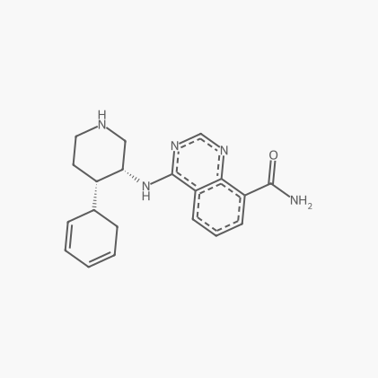 NC(=O)c1cccc2c(N[C@H]3CNCC[C@H]3C3C=CC=CC3)ncnc12